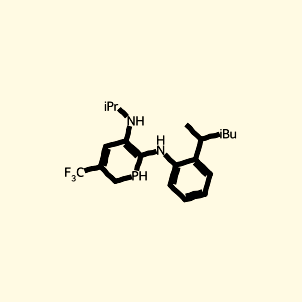 CCC(C)C(C)c1ccccc1NC1=C(NC(C)C)C=C(C(F)(F)F)CP1